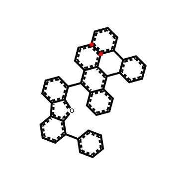 c1ccc(-c2ccccc2-c2c3ccccc3c(-c3cccc4c3oc3c(-c5ccccc5)cccc34)c3ccccc23)cc1